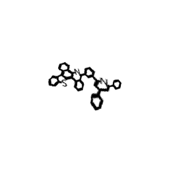 c1ccc(-c2cc(-c3ccccc3)nc(-c3cccc(-c4nc5c6ccccc6c6c7ccccc7sc6c5c5ccccc45)c3)c2)cc1